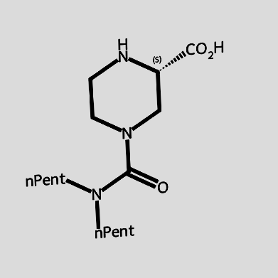 CCCCCN(CCCCC)C(=O)N1CCN[C@H](C(=O)O)C1